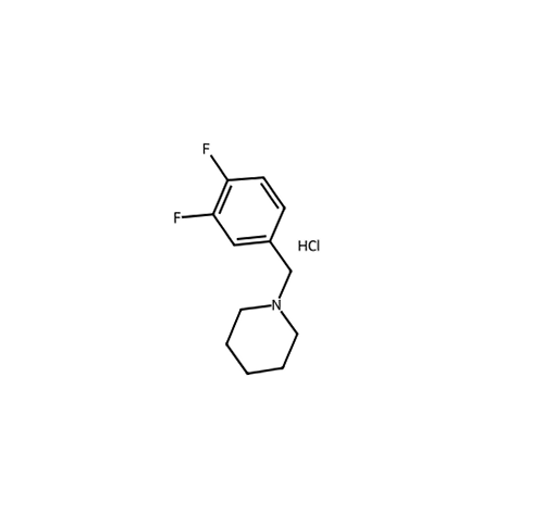 Cl.Fc1ccc(CN2CCCCC2)cc1F